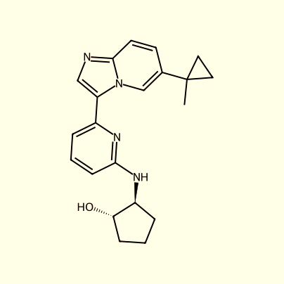 CC1(c2ccc3ncc(-c4cccc(N[C@H]5CCC[C@@H]5O)n4)n3c2)CC1